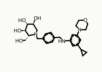 OC[C@@H]1[C@@H](O)[C@H](O)[C@@H](O)CN1Cc1ccc(CNc2cc(C3CC3)cc(N3CCOCC3)c2)cc1